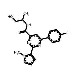 CC(CO)NC(=O)c1cc(-c2ccc(Cl)cc2)nc(-c2ccnn2C)n1